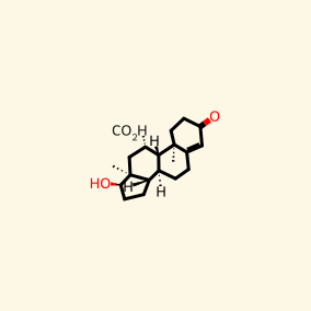 C[C@]12C[C@H](C(=O)O)[C@H]3[C@@H](CCC4=CC(=O)CC[C@@]43C)[C@@H]1CC[C@H]2O